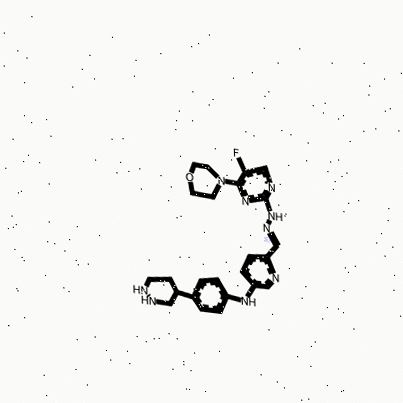 Fc1cnc(N/N=C/c2ccc(Nc3ccc(C4CCNNC4)cc3)cn2)nc1N1CCOCC1